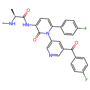 CN[C@@H](C)C(=O)Nc1ccc(-c2ccc(F)cc2)n(-c2cncc(C(=O)c3ccc(F)cc3)c2)c1=O